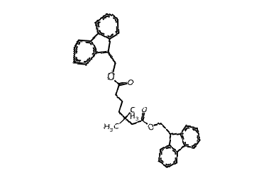 CC(C)(CCCC(=O)OCC1c2ccccc2-c2ccccc21)CC(=O)OCC1c2ccccc2-c2ccccc21